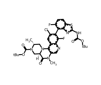 C[C@@H]1CN2c3c(cnc4c(F)c(-c5c(F)ccc6sc(NC(=O)OC(C)(C)C)nc56)c(Cl)cc34)N(C)C(=O)[C@H]2CN1C(=O)OC(C)(C)C